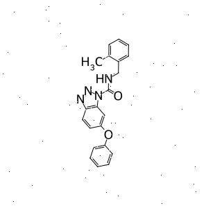 Cc1ccccc1CNC(=O)n1nnc2ccc(Oc3ccccc3)cc21